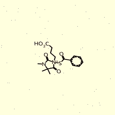 CN1C(=O)[N+](CCCC(=O)O)(SC(=O)c2ccccc2)C(=O)C1(C)C